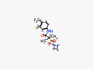 CC(C)(C(=O)Nc1ccc(C(F)(F)F)c(F)c1)S(=O)(=O)N1CCC1